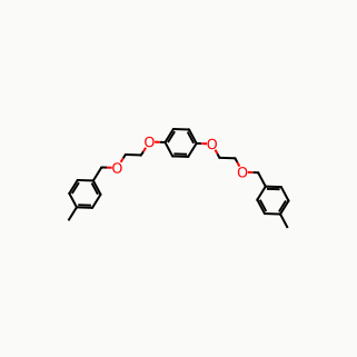 Cc1ccc(COCCOc2ccc(OCCOCc3ccc(C)cc3)cc2)cc1